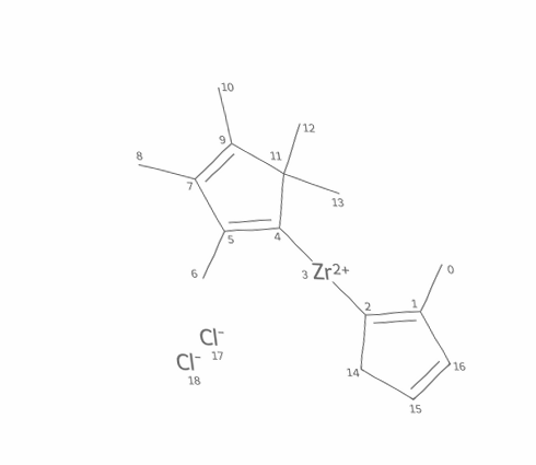 CC1=[C]([Zr+2][C]2=C(C)C(C)=C(C)C2(C)C)CC=C1.[Cl-].[Cl-]